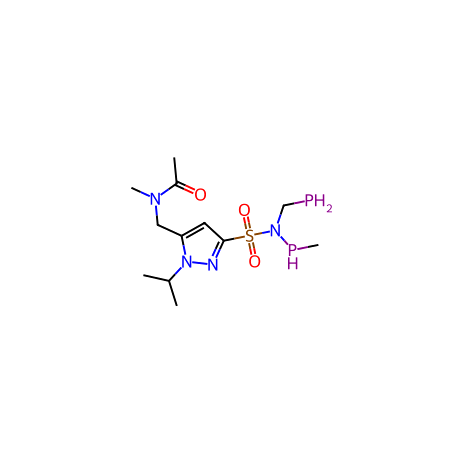 CPN(CP)S(=O)(=O)c1cc(CN(C)C(C)=O)n(C(C)C)n1